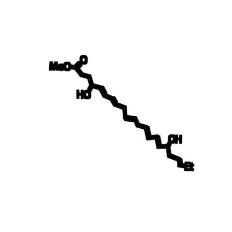 CCC=CCC(O)C=CC=CCC=CCC=CC=CC(O)CCC(=O)OC